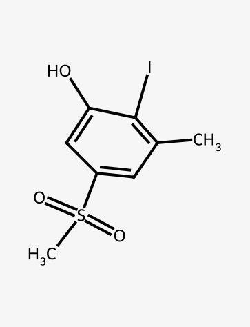 Cc1cc(S(C)(=O)=O)cc(O)c1I